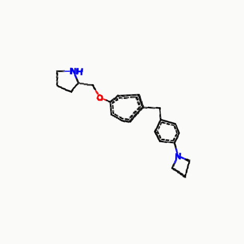 c1cc(OCC2CCCN2)ccc1Cc1ccc(N2CCC2)cc1